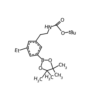 CCc1cc(CCNC(=O)OC(C)(C)C)cc(B2OC(C)(C)C(C)(C)O2)c1